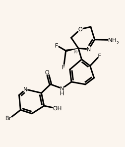 NC1=N[C@@](c2cc(NC(=O)c3ncc(Br)cc3O)ccc2F)(C(F)F)COC1